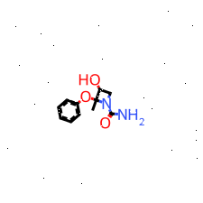 CC1(Oc2ccccc2)C(O)CN1C(N)=O